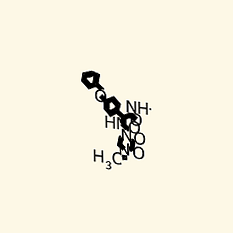 CCN1CCN(C(=O)NC(C([NH])=O)c2ccc(OCc3ccccc3)cc2)C(=O)C1=O